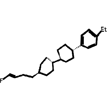 CCc1ccc([C@H]2CC[C@H]([C@H]3CC[C@H](CCC=CF)CC3)CC2)cc1